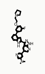 CN(C)c1cncc(-c2cnc3[nH]nc(-c4cc5c(-c6cc(F)cc(OCCN7CCCC7)c6)cccc5[nH]4)c3c2)c1